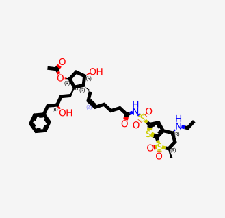 CCN[C@@H]1C[C@@H](C)S(=O)(=O)c2sc(S(=O)(=O)NC(=O)CCC/C=C\C[C@@H]3[C@@H](CC[C@@H](O)Cc4ccccc4)[C@H](OC(C)=O)C[C@@H]3O)cc21